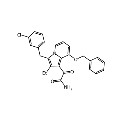 CCc1c(C(=O)C(N)=O)c2c(OCc3ccccc3)cccn2c1Cc1cccc(Cl)c1